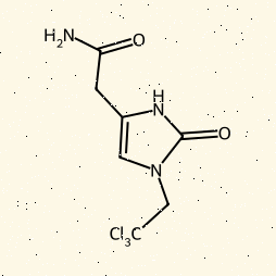 NC(=O)Cc1cn(CC(Cl)(Cl)Cl)c(=O)[nH]1